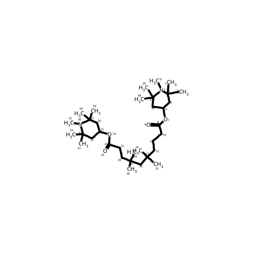 CN1C(C)(C)CC(OC(=O)CCCC(C)(C)CC(C)(C)CCC(=O)OC2CC(C)(C)N(C)C(C)(C)C2)CC1(C)C